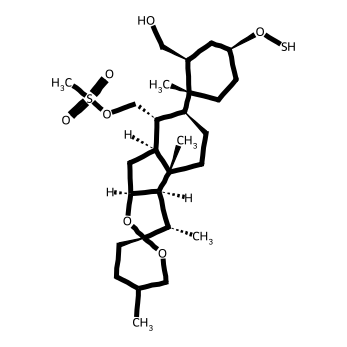 CC1CC[C@@]2(OC1)O[C@H]1C[C@H]3[C@H](COS(C)(=O)=O)[C@@H]([C@@]4(C)CC[C@H](OS)C[C@@H]4CO)CC[C@]3(C)[C@H]1[C@@H]2C